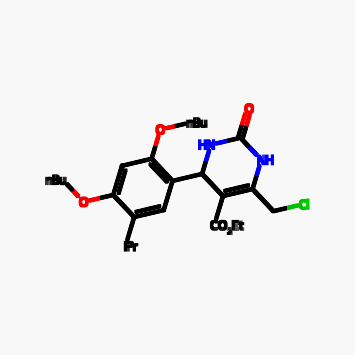 CCCCOc1cc(OCCCC)c(C2NC(=O)NC(CCl)=C2C(=O)OCC)cc1C(C)C